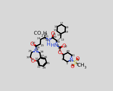 CS(=O)(=O)N1CCC(OC(=O)N[C@@H](CC2CCCCC2)C(=O)N[C@@H](CCC(=O)N2CCOc3ccccc3C2)C(=O)O)CC1